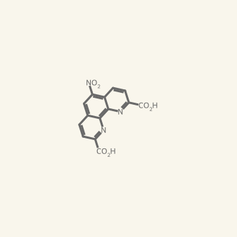 O=C(O)c1ccc2cc([N+](=O)[O-])c3ccc(C(=O)O)nc3c2n1